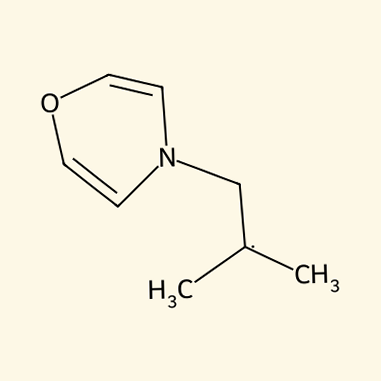 C[C](C)CN1C=COC=C1